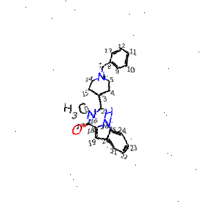 CN(CC1CCN(Cc2ccccc2)CC1)C(=O)c1cc2ccccc2[nH]1